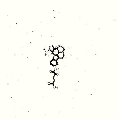 CC[C@]12CCCN3CCc4c(n(c5ccccc45)[C@@](O)(C(=O)OC)C1)[C@@H]32.O=C(O)CCC(=O)C(=O)O